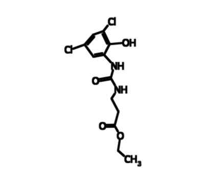 CCOC(=O)CCNC(=O)Nc1cc(Cl)cc(Cl)c1O